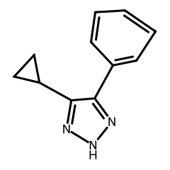 c1ccc(-c2n[nH]nc2C2CC2)cc1